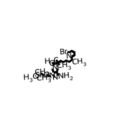 CC(CCCCC(C)(C)C(=O)N1Cc2c(N)nn(COCC[Si](C)(C)C)c2C1)c1cccc(Br)n1